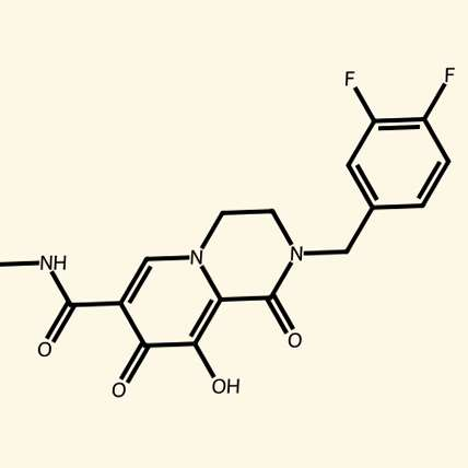 CNC(=O)c1cn2c(c(O)c1=O)C(=O)N(Cc1ccc(F)c(F)c1)CC2